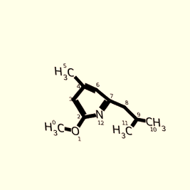 COc1cc(C)cc(CC(C)C)n1